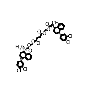 CN(C(=O)OCOC(=O)CCC(=O)OCOC(=O)N(C)[C@H]1CC[C@@H](c2ccc(Cl)c(Cl)c2)c2ccccc21)[C@H]1CC[C@@H](c2ccc(Cl)c(Cl)c2)c2ccccc21